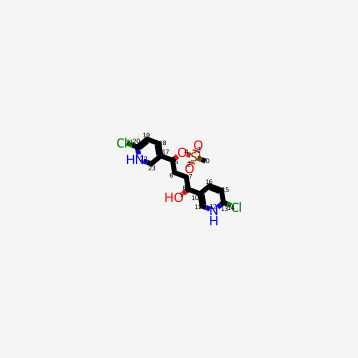 CS(=O)(=O)OC(CCC(O)C1=CNC(Cl)C=C1)C1=CC=C(Cl)NC1